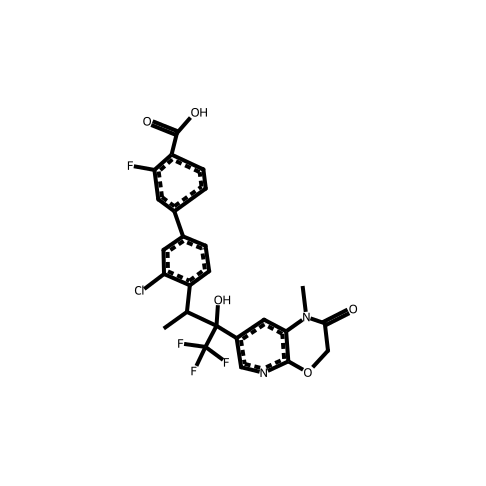 CC(c1ccc(-c2ccc(C(=O)O)c(F)c2)cc1Cl)C(O)(c1cnc2c(c1)N(C)C(=O)CO2)C(F)(F)F